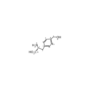 N[C@@H](Cc1ccc(CO)nc1)C(=O)O